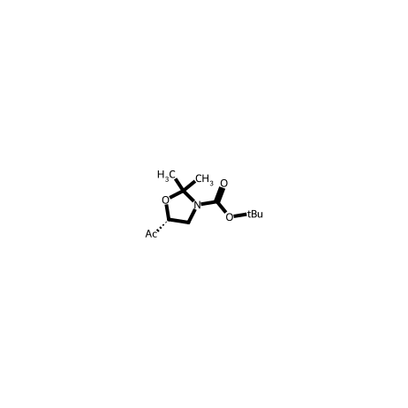 CC(=O)[C@H]1CN(C(=O)OC(C)(C)C)C(C)(C)O1